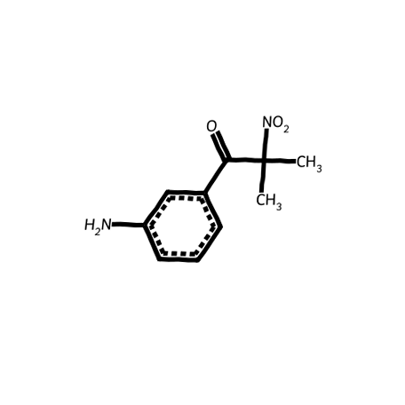 CC(C)(C(=O)c1cccc(N)c1)[N+](=O)[O-]